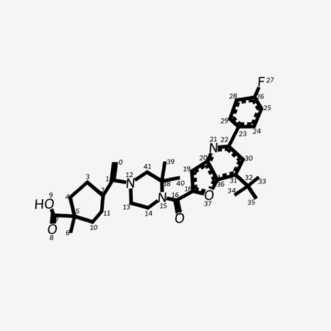 C=C(C1CCC(C)(C(=O)O)CC1)N1CCN(C(=O)c2cc3nc(-c4ccc(F)cc4)cc(C(C)(C)C)c3o2)C(C)(C)C1